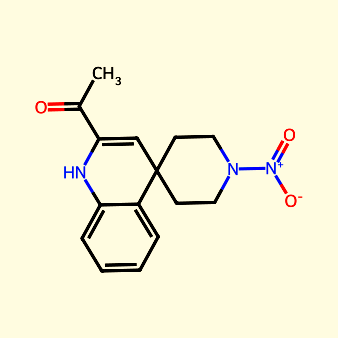 CC(=O)C1=CC2(CCN([N+](=O)[O-])CC2)c2ccccc2N1